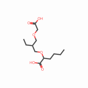 CCCCC(OCC(CC)COCC(=O)O)C(=O)O